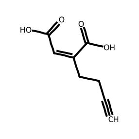 C#CCC/C(=C/C(=O)O)C(=O)O